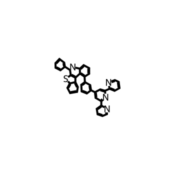 c1ccc(-c2nc3cccc(-c4cccc(-c5cc(-c6ccccn6)nc(-c6ccccn6)c5)c4)c3c3c2sc2ccccc23)cc1